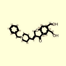 O=C1/C(=C/C2CCN(Cc3ccccc3)CC2)CCc2cc(CO)c(CO)cc21